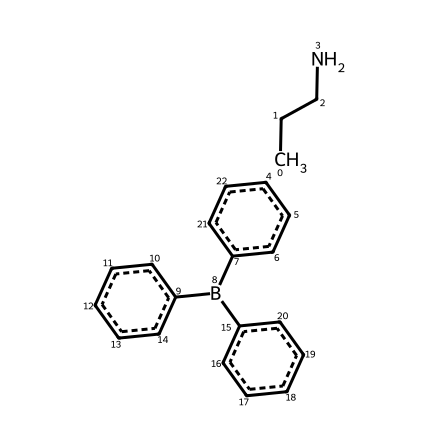 CCCN.c1ccc(B(c2ccccc2)c2ccccc2)cc1